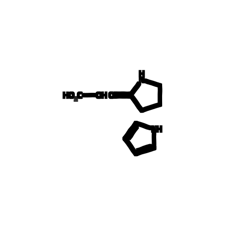 O=C(O)O.O=C1CCCN1.c1cc[nH]c1